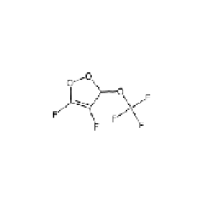 FC1=C(F)C(OC(F)(F)F)OO1